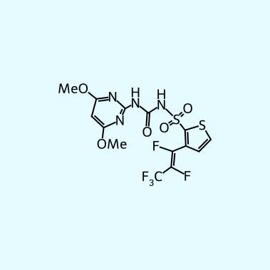 COc1cc(OC)nc(NC(=O)NS(=O)(=O)c2sccc2C(F)=C(F)C(F)(F)F)n1